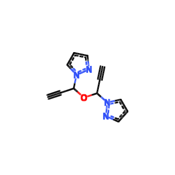 C#CC(OC(C#C)n1cccn1)n1cccn1